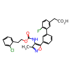 Cc1noc(-c2cccc(-c3cc(CC(=O)O)ccc3F)c2)c1NC(=O)OCCc1ccccc1Cl